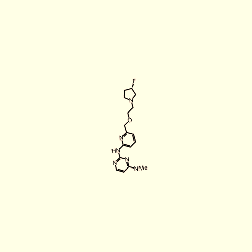 CNc1ccnc(Nc2cccc(COCCN3CC[C@@H](F)C3)n2)n1